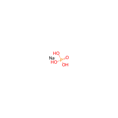 O=P(O)(O)O.[Na]